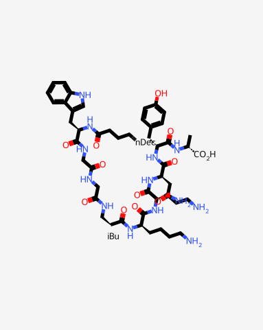 CCCCCCCCCCCCCC(=O)N[C@H](Cc1c[nH]c2ccccc12)C(=O)NCC(=O)NCC(=O)NC[C@@H](C(=O)N[C@H](CCCCN)C(=O)N[C@H](CCCN)C(=O)N[C@H](CC(N)=O)C(=O)N[C@H](Cc1ccc(O)cc1)C(=O)N[C@H](C)C(=O)O)[C@H](C)CC